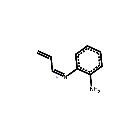 C=C/C=N\c1ccccc1N